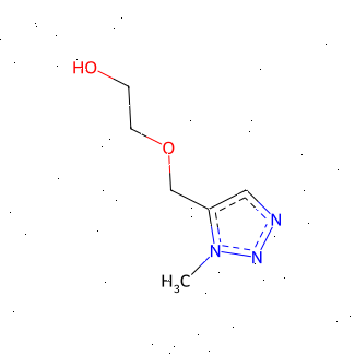 Cn1nncc1COCCO